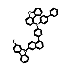 Fc1ccc2c3ccccc3n(-c3ccc4c(-c5ccc(N(c6ccc(-c7ccccc7)cc6)c6cccc7oc8ccccc8c67)cc5)cccc4c3)c2c1